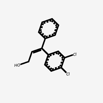 OCC=C(c1ccccc1)c1ccc(Cl)c(Cl)c1